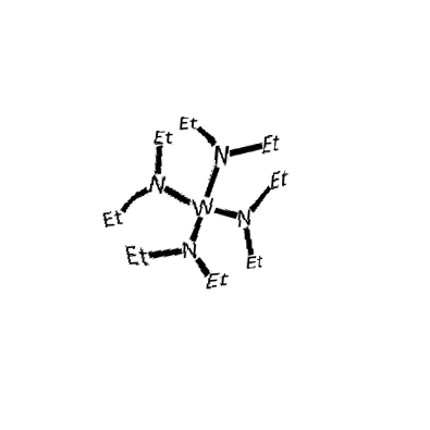 CC[N](CC)[W]([N](CC)CC)([N](CC)CC)[N](CC)CC